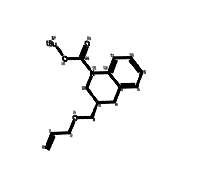 C=CCOC[C@@H]1Cc2ccccc2N(C(=O)OC(C)(C)C)C1